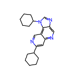 c1c(C2CCCCC2)ncc2c1ncc1ncn(C3CCCCC3)c12